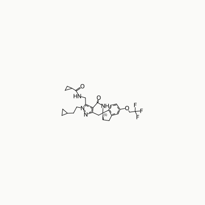 O=C1N[C@@]2(CCc3cc(OCC(F)(F)F)ccc32)Cc2nn(CCC3CC3)c(CNC(=O)C3CC3)c21